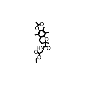 CCOC(=O)CNC(=O)C1(C)CCc2c(C)c(OC(C)=O)c(C)c(C)c2O1